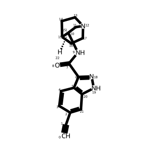 C#Cc1ccc2c(C(=O)N[C@@H]3CN4CCC3CC4)n[nH]c2c1